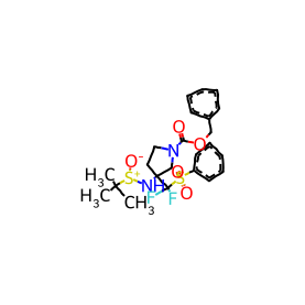 CC(C)(C)[S+]([O-])NC1(C(F)(F)S(=O)(=O)c2ccccc2)CCN(C(=O)OCc2ccccc2)C1